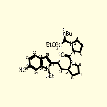 CCCCC(C(=O)OCC)N1CCC[C@@H]1C(=O)N1CCC[C@H]1CCc1cc2ccc(C#N)cc2n1CC